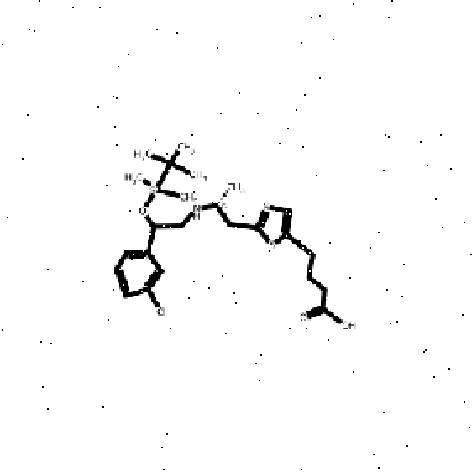 C[C@H](Cc1ncc(CCCC(=O)O)s1)NCC(O[Si](C)(C)C(C)(C)C)c1cccc(Cl)c1